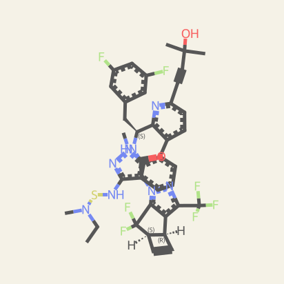 CCN(C)SNc1nn(C)c2c(-c3ccc(C#CC(C)(C)O)nc3[C@H](Cc3cc(F)cc(F)c3)NC(=O)Cn3nc(C(F)(F)F)c4c3C(F)(F)[C@@H]3C#C[C@H]43)cccc12